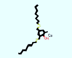 CCCCCCCCSCc1cc(C)c(O)c(CSCCCCCCCC)c1.[Ca]